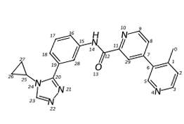 Cc1ccncc1-c1ccnc(C(=O)Nc2cccc(-c3nncn3C3CC3)c2)c1